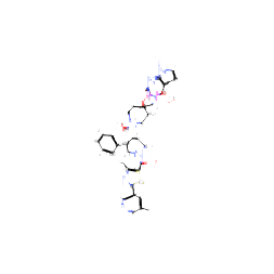 Cc1cncc(-c2nc(C)c(C(=O)N3CC[C@@H](C(=O)N4CCC(O)(Cn5cnc6c(ccn6C)c5=O)CC4)[C@H](c4ccccc4)C3)s2)c1